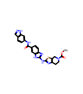 CC(C)(C)OC(=O)N1CCc2nc(Nc3nc4ccc(C(=O)Nc5ccc6cn[nH]c6c5)cc4[nH]3)sc2C1